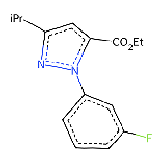 CCOC(=O)c1cc(C(C)C)nn1-c1cccc(F)c1